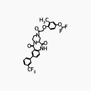 Cc1cc(OC(F)F)ccc1OCC(=O)N1CCN2C(=O)c3cc(-c4cccc(C(F)(F)F)c4)ccc3NC(=O)C2C1